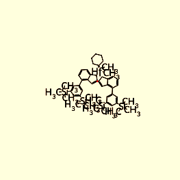 C[Si](C)(C)c1cc(-c2cccc3c2C=C[CH]3[Hf]([CH3])([CH3])(=[C]2CCCCC2)[CH]2C=Cc3c(-c4cc([Si](C)(C)C)cc([Si](C)(C)C)c4)cccc32)cc([Si](C)(C)C)c1